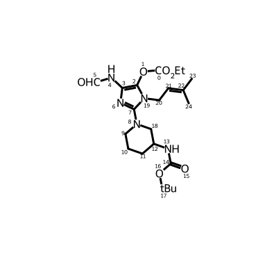 CCOC(=O)Oc1c(NC=O)nc(N2CCCC(NC(=O)OC(C)(C)C)C2)n1CC=C(C)C